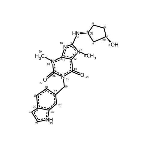 Cn1c(N[C@H]2CC[C@@H](O)C2)nc2c1c(=O)n(Cc1ccc3cc[nH]c3c1)c(=O)n2C